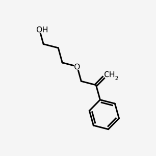 C=C(COCCCO)c1ccccc1